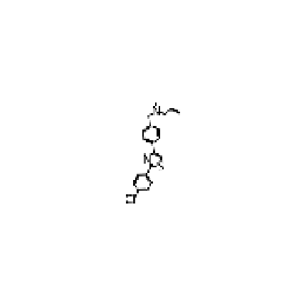 C=CCN(C)Cc1ccc(-c2csc(-c3ccc(Cl)cc3)n2)cc1